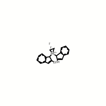 CCC1=Cc2ccccc2[CH]1[Hf+2]1([CH]2C(CC)=Cc3ccccc32)[CH2][CH2]1.[I-].[I-]